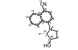 C[C@H]1[C@H](O)CCN1c1ccc(C#N)c2ccccc12